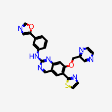 c1cc(Nc2ncc3cc(-c4nccs4)c(OCc4cnccn4)cc3n2)cc(-c2cnco2)c1